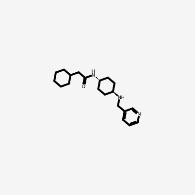 O=C(CC1CCCCC1)N[C@H]1CC[C@H](NCc2cccnc2)CC1